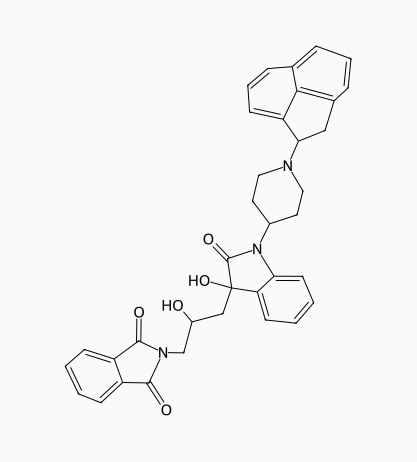 O=C1c2ccccc2C(=O)N1CC(O)CC1(O)C(=O)N(C2CCN(C3Cc4cccc5cccc3c45)CC2)c2ccccc21